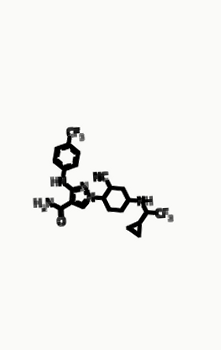 N#CC1CC(NC(C2CC2)C(F)(F)F)CCC1n1cc(C(N)=O)c(Nc2ccc(C(F)(F)F)cc2)n1